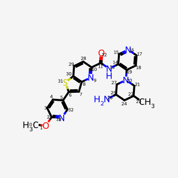 COc1ccc(-c2cc3nc(C(=O)Nc4cnccc4N4CC(C)CC(N)C4)ccc3s2)cn1